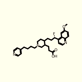 COc1ccc2nccc([C@@H](F)CCC3CCN(CCCCc4ccncc4)CC3CCC(=O)O)c2c1